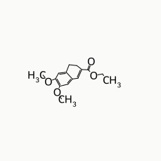 CCOC(=O)C1=Cc2cc(OC)c(OC)cc2CC1